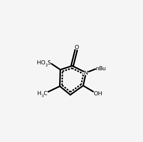 CCCCn1c(O)cc(C)c(S(=O)(=O)O)c1=O